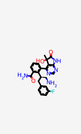 CC1(O)C(=O)Nc2ncnc(-c3cccc(C(N)=O)c3[C@@H](CN)Cc3cccc(F)c3)c21